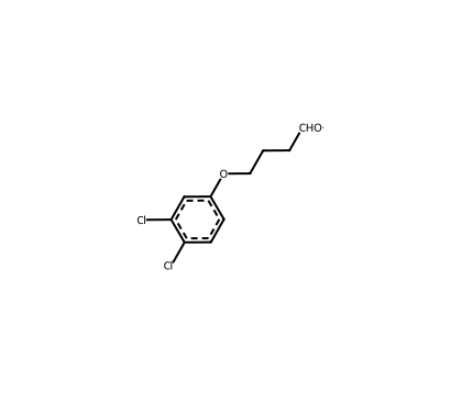 O=[C]CCCOc1ccc(Cl)c(Cl)c1